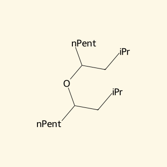 CCCCCC(CC(C)C)OC(CCCCC)CC(C)C